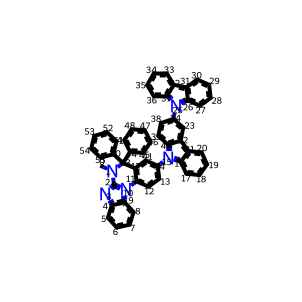 CN1c2nc3ccccc3n2-c2ccc(-n3c4ccccc4c4cc(-n5c6ccccc6c6ccccc65)ccc43)cc2C1(c1ccccc1)c1ccccc1